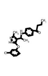 CCCC(=O)c1ccc(NC(C)c2c(C)n[nH]c2Oc2cccc(Cl)c2)cc1